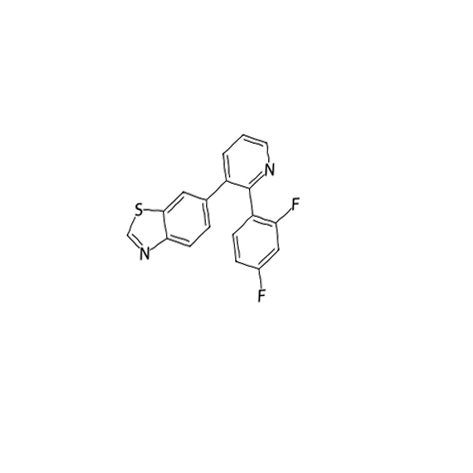 Fc1ccc(-c2ncccc2-c2ccc3ncsc3c2)c(F)c1